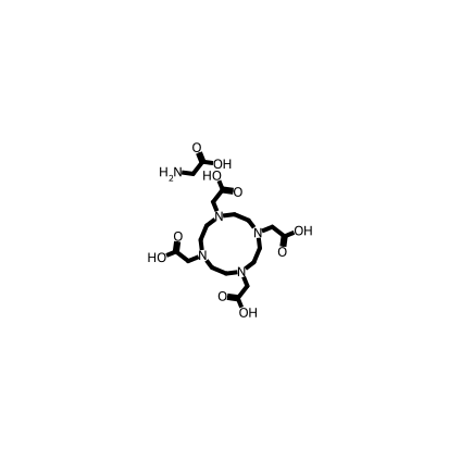 NCC(=O)O.O=C(O)CN1CCN(CC(=O)O)CCN(CC(=O)O)CCN(CC(=O)O)CC1